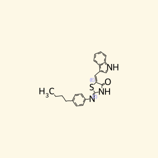 CCCCc1ccc(/N=C2/NC(=O)/C(=C\c3c[nH]c4ccccc34)S2)cc1